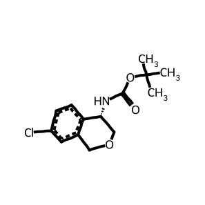 CC(C)(C)OC(=O)N[C@@H]1COCc2cc(Cl)ccc21